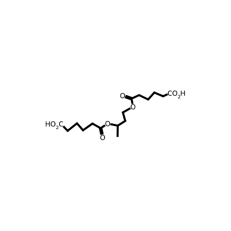 CC(CCOC(=O)CCCCC(=O)O)OC(=O)CCCCC(=O)O